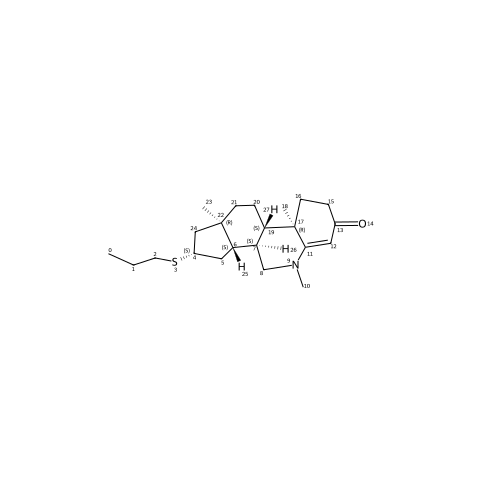 CCCS[C@H]1C[C@H]2[C@@H]3CN(C)C4=CC(=O)CC[C@]4(C)[C@H]3CC[C@]2(C)C1